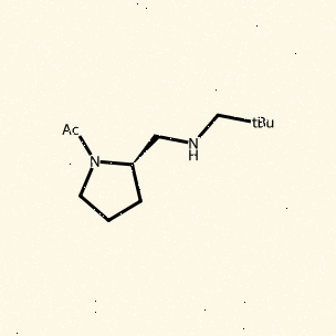 CC(=O)N1CCC[C@@H]1CNCC(C)(C)C